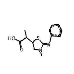 CC(C(=O)O)C1CN(C)C(=Nc2ccccc2)S1